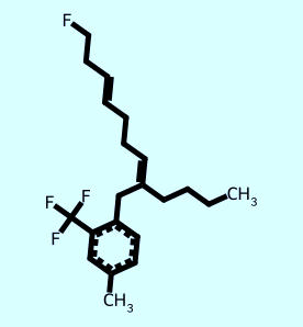 CCCC/C(=C/CC/C=C/CCF)Cc1ccc(C)cc1C(F)(F)F